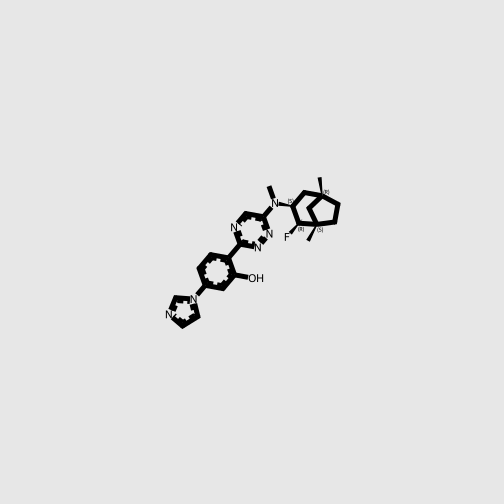 CN(c1cnc(-c2ccc(-n3ccnc3)cc2O)nn1)[C@H]1C[C@]2(C)CC[C@@](C)(C2)[C@H]1F